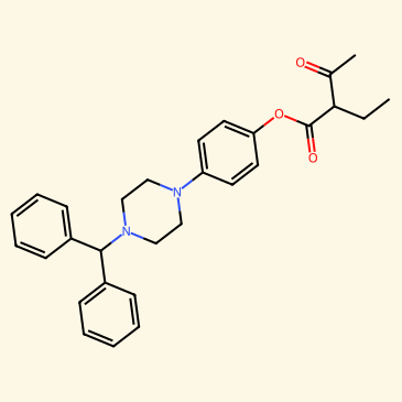 CCC(C(C)=O)C(=O)Oc1ccc(N2CCN(C(c3ccccc3)c3ccccc3)CC2)cc1